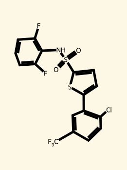 O=S(=O)(Nc1c(F)cccc1F)c1ccc(-c2cc(C(F)(F)F)ccc2Cl)s1